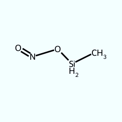 C[SiH2]ON=O